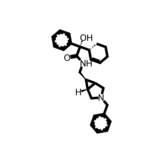 O=C(NC[C@H]1C2CN(Cc3ccccc3)C[C@@H]21)[C@@](O)(c1ccccc1)[C@H]1C=CCCC1